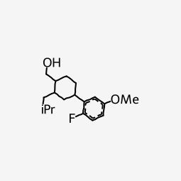 COc1ccc(F)c(C2CCC(CO)C(CC(C)C)C2)c1